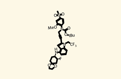 COc1cc(S(C)(=O)=O)ccc1N(CC#Cc1cc2c(N[C@@H]3CCC4(C[C@@H]3F)OCCO4)cccc2n1CC(F)(F)F)C(=O)OC(C)(C)C